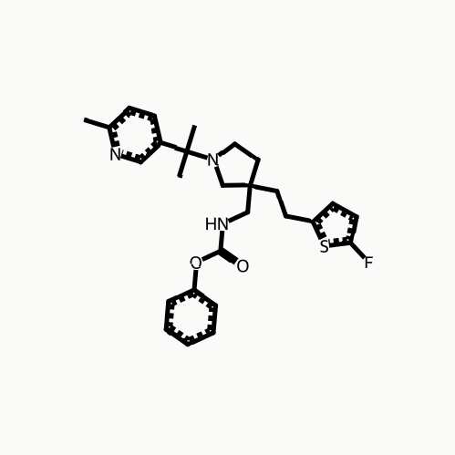 Cc1ccc(C(C)(C)N2CCC(CCc3ccc(F)s3)(CNC(=O)Oc3ccccc3)C2)cn1